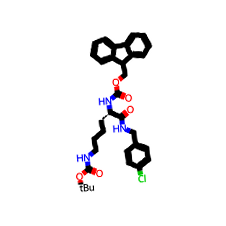 CC(C)(C)OC(=O)NCCCC[C@H](NC(=O)OCC1c2ccccc2-c2ccccc21)C(=O)NCc1ccc(Cl)cc1